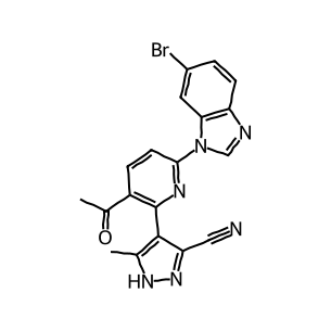 CC(=O)c1ccc(-n2cnc3ccc(Br)cc32)nc1-c1c(C#N)n[nH]c1C